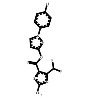 Cc1nc(C(F)F)c(C(=O)Oc2ccn(-c3ccc(Cl)cc3)n2)s1